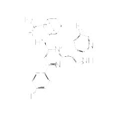 O=C(O)C1C2CCC(CC2)C1Nc1cc(-c2ccc(F)cc2)nc(-c2c[nH]c3ncc(F)cc23)n1